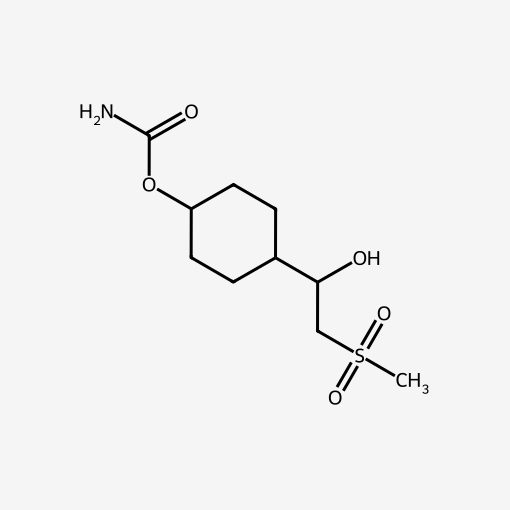 CS(=O)(=O)CC(O)C1CCC(OC(N)=O)CC1